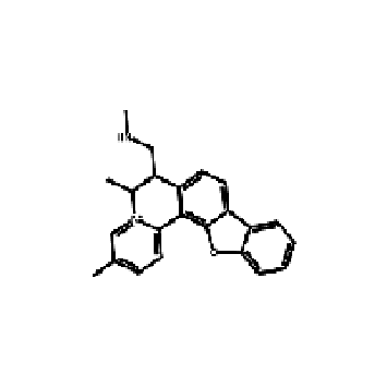 CNCC1c2ccc3c(oc4ccccc43)c2-c2ccc(C)c[n+]2C1C